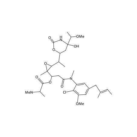 C/C=C(\C)Cc1cc(OC)c(Cl)c(N(C)C(=O)CC(OC(=O)C(C)NC)C2(C)OC2C(C)C2CC(O)(C(C)OC)NC(=O)O2)c1